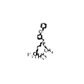 CCCCN(C/C=C/C#CC(C)(C)C)Cc1cccc(OCc2ccccc2)c1